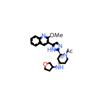 COc1nc2ccccc2cc1-c1cnc([C@@H]2C[C@@H](NC3CCOC3)CCN2C(C)=O)[nH]1